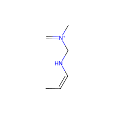 C=[N+](C)CN/C=C\C